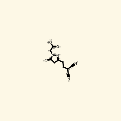 N#CC(C#N)CCC1=NN(CC(=O)O)C(=O)C1